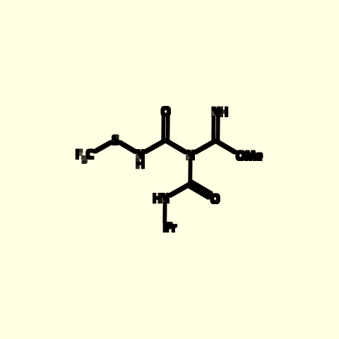 COC(=N)N(C(=O)NSC(F)(F)F)C(=O)NC(C)C